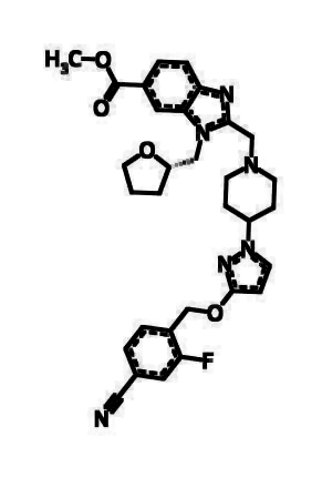 COC(=O)c1ccc2nc(CN3CCC(n4ccc(OCc5ccc(C#N)cc5F)n4)CC3)n(C[C@@H]3CCCO3)c2c1